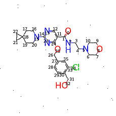 O=C(NCCN1CCOCC1)c1cnc(N2CCC3(CC2)CC3)nc1OCc1ccc(CO)c(Cl)c1